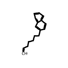 [CH]=CCCCCCc1ccc2ccccc2c1